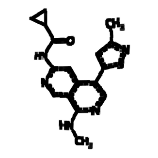 CNc1ncc(-c2cc(C)ns2)c2cc(NC(=O)C3CC3)ncc12